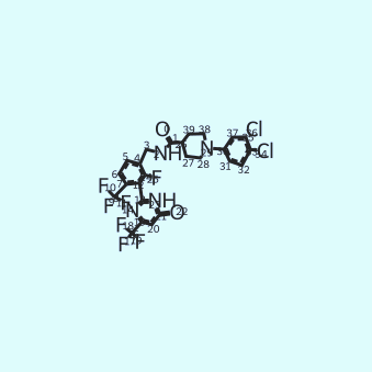 O=C(NCc1ccc(C(F)(F)F)c(-c2nc(C(F)(F)F)cc(=O)[nH]2)c1F)C1CCN(c2ccc(Cl)c(Cl)c2)CC1